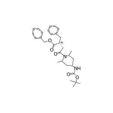 CC1CC(NC(=O)OC(C)(C)C)CC(C)N1C(=O)C[C@@H](Cc1ccccc1)C(=O)OCc1ccccc1